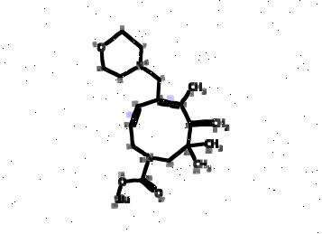 C=C1/C(C)=C(CN2CCOCC2)\C=C/CN(C(=O)OC(C)(C)C)CC1(C)C